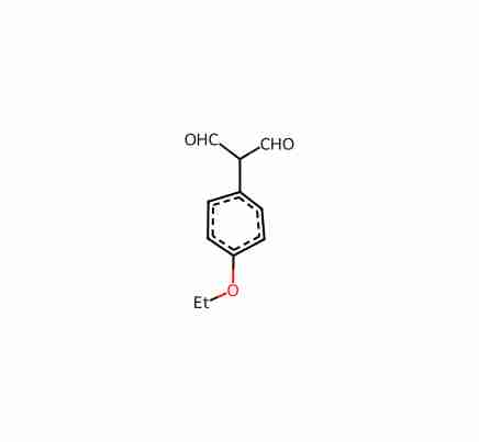 CCOc1ccc(C(C=O)C=O)cc1